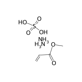 C=CC(=O)OC.N.N.O=S(=O)(O)O